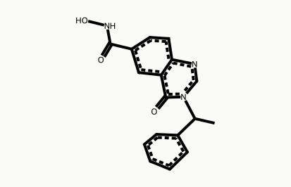 CC(c1ccccc1)n1cnc2ccc(C(=O)NO)cc2c1=O